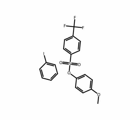 COc1ccc(OS(=O)(=O)c2ccc(C(F)(F)F)cc2)cc1.Ic1ccccc1